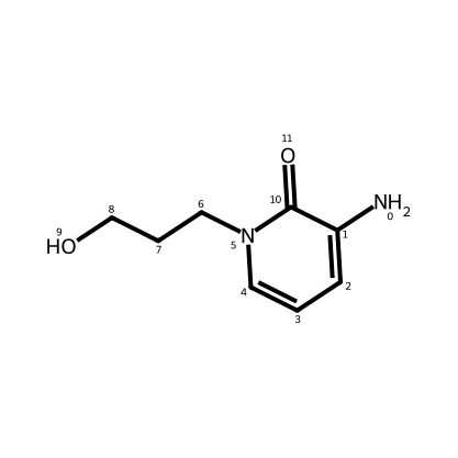 Nc1cccn(CCCO)c1=O